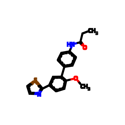 CCC(=O)Nc1ccc(-c2cc(-c3nccs3)ccc2OC)cc1